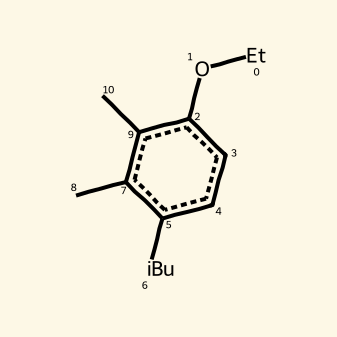 CCOc1ccc(C(C)CC)c(C)c1C